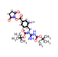 CC(C)(C)OC(=O)NC(=N)N(Cc1ccc(C(=O)ON2C(=O)CCC2=O)cc1I)C(=O)OC(C)(C)C